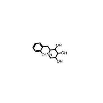 Oc1ccccc1CC1NCC(O)C(O)C1O